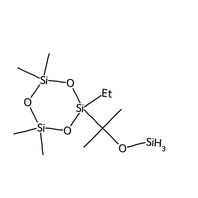 CC[Si]1(C(C)(C)O[SiH3])O[Si](C)(C)O[Si](C)(C)O1